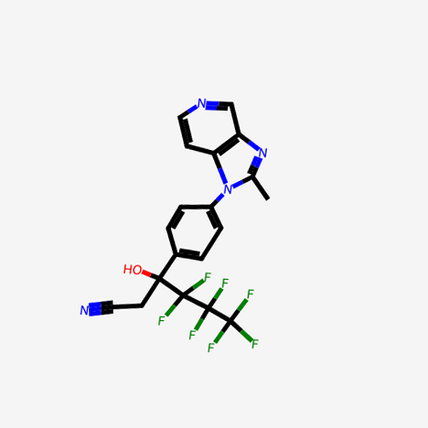 Cc1nc2cnccc2n1-c1ccc(C(O)(CC#N)C(F)(F)C(F)(F)C(F)(F)F)cc1